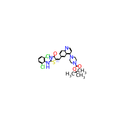 CC(C)(C)OC(=O)N1CCN(c2ccnc3ccc(/C=C4/SC(Nc5c(Cl)cccc5Cl)=NC4=O)cc23)CC1